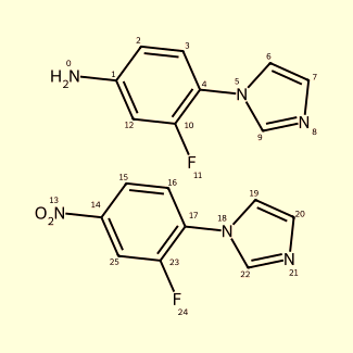 Nc1ccc(-n2ccnc2)c(F)c1.O=[N+]([O-])c1ccc(-n2ccnc2)c(F)c1